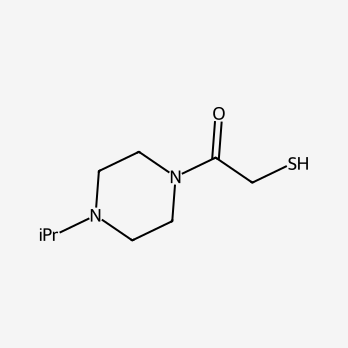 CC(C)N1CCN(C(=O)CS)CC1